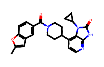 Cc1cc2cc(C(=O)N3CCC(c4ccnc5[nH]c(=O)n(C6CC6)c45)CC3)ccc2o1